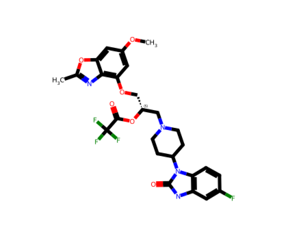 COc1cc(OC[C@H](CN2CCC(N3C(=O)[N]c4cc(F)ccc43)CC2)OC(=O)C(F)(F)F)c2nc(C)oc2c1